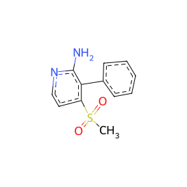 CS(=O)(=O)c1ccnc(N)c1-c1ccccc1